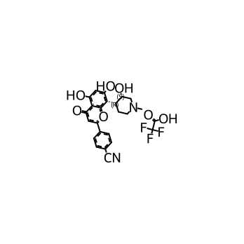 CN1CC[C@H](c2c(O)cc(O)c3c(=O)cc(-c4ccc(C#N)cc4)oc23)[C@H](O)C1.O=C(O)C(F)(F)F